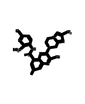 Cc1cc([C@@H](C)Nc2ccc(Cl)nc2C(=O)O)c2nc(N3CCn4cc(C(F)(F)F)nc4C3)c(C#N)nc2c1